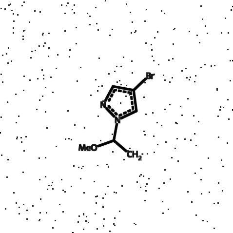 [CH2]C(OC)n1cc(Br)cn1